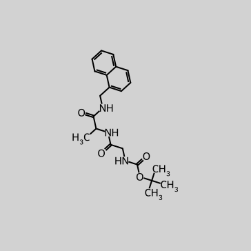 CC(NC(=O)CNC(=O)OC(C)(C)C)C(=O)NCc1cccc2ccccc12